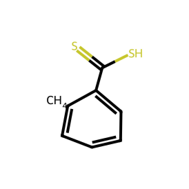 C.S=C(S)c1ccccc1